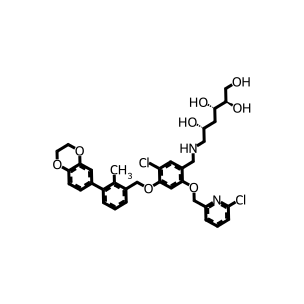 Cc1c(COc2cc(OCc3cccc(Cl)n3)c(CNC[C@H](O)C[C@H](O)[C@H](O)CO)cc2Cl)cccc1-c1ccc2c(c1)OCCO2